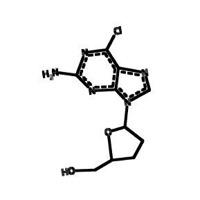 Nc1nc(Cl)c2ncn(C3CCC(CO)O3)c2n1